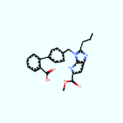 CCCc1nc2cc(C(=O)OC)[nH]c2n1Cc1ccc(-c2ccccc2C(=O)O)cc1